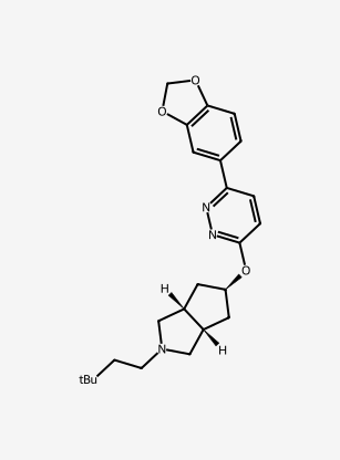 CC(C)(C)CCN1C[C@H]2C[C@H](Oc3ccc(-c4ccc5c(c4)OCO5)nn3)C[C@H]2C1